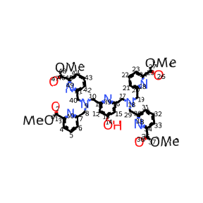 COC(=O)c1cccc(CN(Cc2cc(O)cc(CN(Cc3cccc(C(=O)OC)n3)Cc3cccc(C(=O)OC)n3)n2)Cc2cccc(C(=O)OC)n2)n1